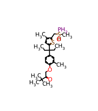 CCC(CC)(c1ccc(OCC(=O)C(C)(C)C)c(C)c1)c1cc(C)c(C[SH](C)(=O)P)s1